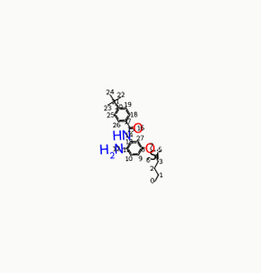 CCCC[Si](C)(C)Oc1ccc(N)c(NC(=O)c2ccc(C(C)(C)C)cc2)c1